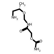 C[C@@H](CN)OCNC(=O)COC(N)=O